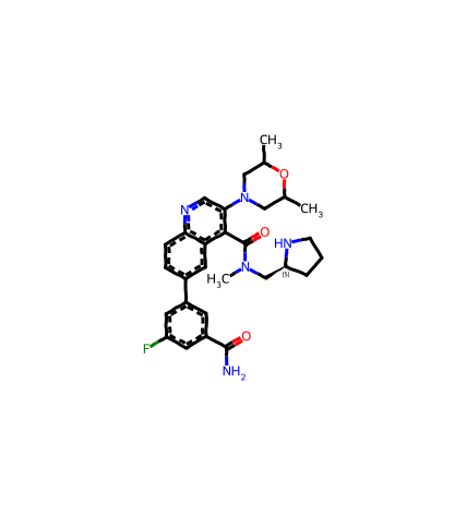 CC1CN(c2cnc3ccc(-c4cc(F)cc(C(N)=O)c4)cc3c2C(=O)N(C)C[C@@H]2CCCN2)CC(C)O1